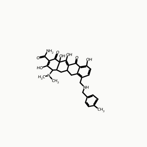 Cc1ccc(CNCc2ccc(O)c3c2CC2CC4C(N(C)C)C(O)=C(C(N)=O)C(=O)C4(O)C(O)=C2C3=O)cc1